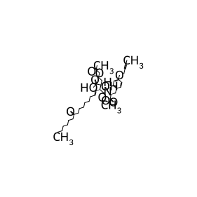 CC#CCOc1ccc(C[C@H](NC(=O)[C@@H](C=CCCCCCCC(=O)CCCCCCC)[C@@](O)(CCOC(C)=O)C(=O)O)C(=O)OC)cc1